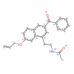 C=CCOc1ccc2cc(C(=O)c3ccccc3)cc(CCNC(C)=O)c2c1